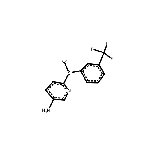 Nc1ccc([S+]([O-])c2cccc(C(F)(F)F)c2)nc1